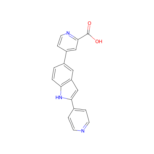 O=C(O)c1cc(-c2ccc3[nH]c(-c4ccncc4)cc3c2)ccn1